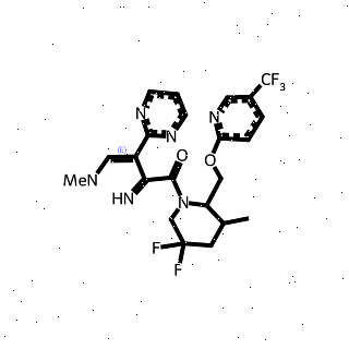 CN/C=C(\C(=N)C(=O)N1CC(F)(F)CC(C)C1COc1ccc(C(F)(F)F)cn1)c1ncccn1